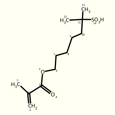 C=C(C)C(=O)OCCCC[CH]C(C)(C)S(=O)(=O)O